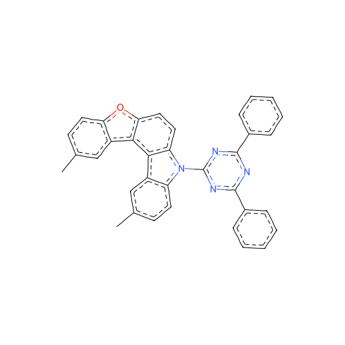 Cc1ccc2oc3ccc4c(c5cc(C)ccc5n4-c4nc(-c5ccccc5)nc(-c5ccccc5)n4)c3c2c1